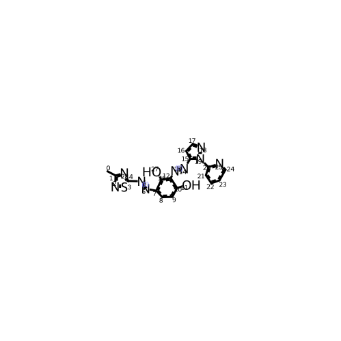 Cc1nsc(/N=N/c2ccc(O)c(/N=N/c3ccnn3-c3ccccn3)c2O)n1